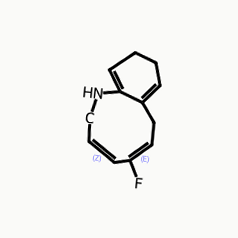 FC1=C/CC2=CCCC=C2NC/C=C\1